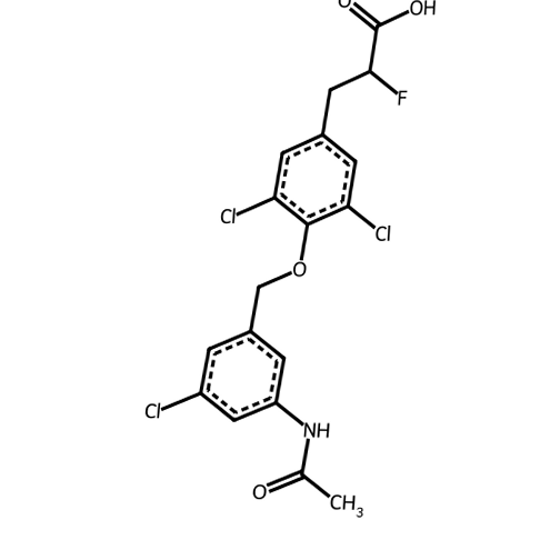 CC(=O)Nc1cc(Cl)cc(COc2c(Cl)cc(CC(F)C(=O)O)cc2Cl)c1